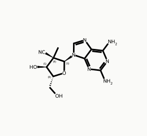 C[C@@]1(C#N)[C@H](O)[C@@H](CO)O[C@@H]1n1cnc2c(N)nc(N)nc21